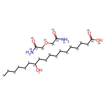 CCCCCCC(O)CCCCCCCCCCC(=O)O.NC(=O)COCC(N)=O